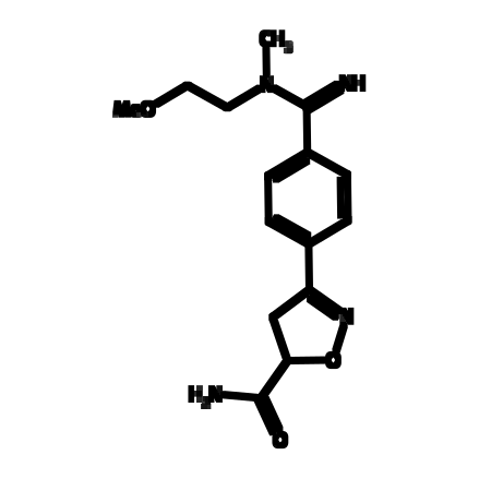 COCCN(C)C(=N)c1ccc(C2=NOC(C(N)=O)C2)cc1